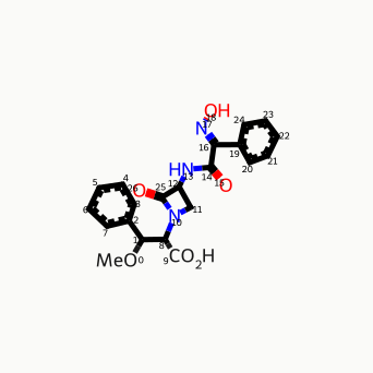 COC(c1ccccc1)C(C(=O)O)N1CC(NC(=O)C(=NO)c2ccccc2)C1=O